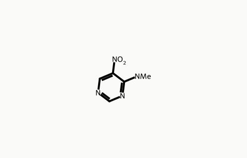 CNc1ncncc1[N+](=O)[O-]